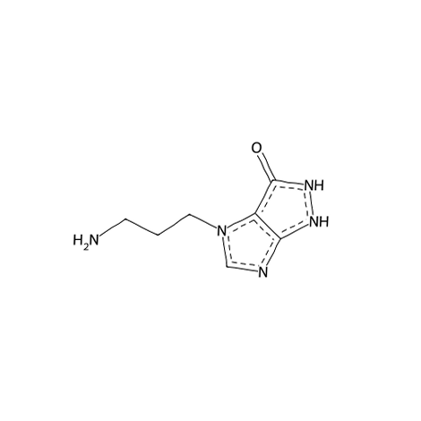 NCCCn1cnc2[nH][nH]c(=O)c21